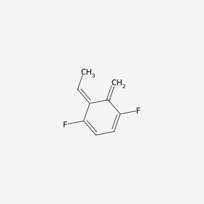 C=c1c(F)ccc(F)/c1=C/C